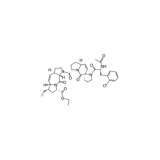 CCOC(=O)[C@@H]1C[C@@H](CC)[C@@H]2C=C[C@H]3CCN(C(=O)[C@@H]4CC[C@H]5C=C[C@]6(CCCN6C(=O)[C@H](Cc6ccccc6Cl)NC(C)=O)C(=O)N54)[C@@H]3C(=O)N12